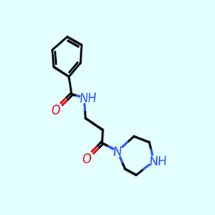 O=C(NCCC(=O)N1CCNCC1)c1ccccc1